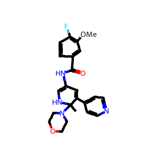 COc1cc(C(=O)NC2=CNC(C)(N3CCOCC3)C(c3ccncc3)=C2)ccc1F